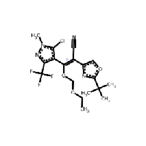 CCOCO/C(=C(/C#N)c1coc(C(C)(C)C)n1)c1c(C(F)(F)F)nn(C)c1Cl